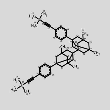 CC12CC3(C)CC(c4ccc(C#C[Si](C)(C)C)cc4)(C1)CC(C14CC5(C)CC(C)(CC(c6ccc(C#C[Si](C)(C)C)cc6)(C5)C1)C4)(C2)C3